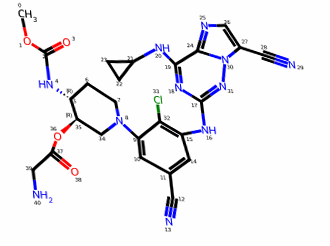 COC(=O)N[C@@H]1CCN(c2cc(C#N)cc(Nc3nc(NC4CC4)c4ncc(C#N)n4n3)c2Cl)C[C@H]1OC(=O)CN